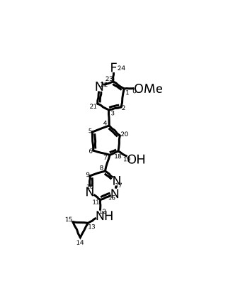 COc1cc(-c2ccc(-c3cnc(NC4CC4)nn3)c(O)c2)cnc1F